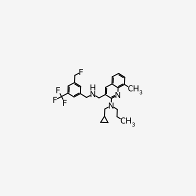 CCCN(CC1CC1)c1nc2c(C)cccc2cc1CNCc1cc(CF)cc(C(F)(F)F)c1